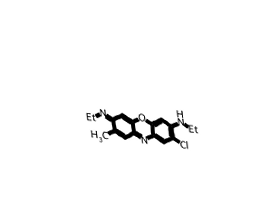 CC/N=c1/cc2oc3cc(NCC)c(Cl)cc3nc-2cc1C